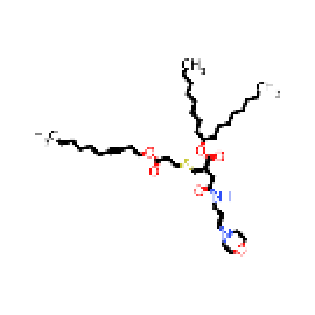 CCCCCCC#CCCOC(=O)CCSCC(CC(=O)NCCCN1CCOCC1)C(=O)OC(CCCCCCCC)CCCCCCCC